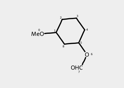 COC1CCCC(OC=O)C1